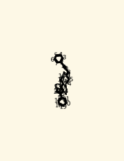 C(#Cc1ccccc1)CN1CCN(c2nc(-c3ccccc3)cs2)CC1